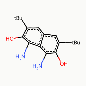 CC(C)(C)c1cc2cc(C(C)(C)C)c(O)c(N)c2c(N)c1O